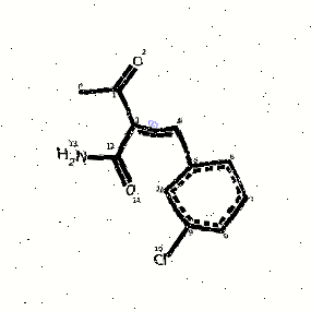 CC(=O)/C(=C/c1cccc(Cl)c1)C(N)=O